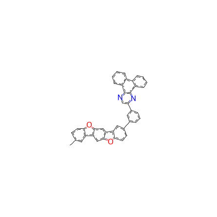 Cc1ccc2oc3cc4c(cc3c2c1)oc1ccc(-c2cccc(-c3cnc5c6ccccc6c6ccccc6c5n3)c2)cc14